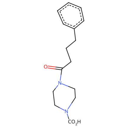 O=C(O)N1CCN(C(=O)CCCc2ccccc2)CC1